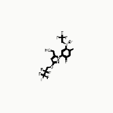 Cc1cc(F)c(-n2nc(OCC(F)(F)C(F)(F)F)cc2CO)cc1[S+]([O-])CC(F)(F)F